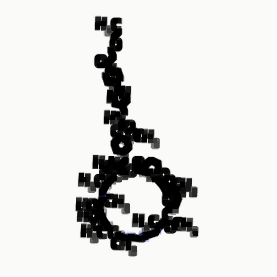 CCCOCCC(=O)N1CCN(c2ncc(CNC(=O)O[C@@H]3CC[C@@H](C[C@@H](N)[C@@H]4C[C@@H](OC)[C@H](C)/C=C(\C)[C@@H](O)[C@@H](O)C(=O)[C@H](C)C[C@H](C)/C=C/C=C/C=C(\C)[C@@H](OC)C[C@@H]5CC[C@@H](C)[C@@](O)(O5)C(=O)C(=O)N5CCCC[C@H]5C(=O)O4)C[C@H]3OC)cn2)CC1